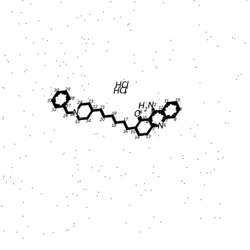 Cl.Cl.Nc1c2c(nc3ccccc13)CCC(CCCCCCC1CCN(Cc3ccccc3)CC1)C2=O